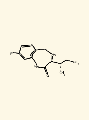 CC[C@H](C)[C@@H]1NCc2ncc(F)cc2NC1=O